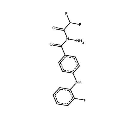 NN(C(=O)c1ccc(Nc2ccccc2F)cc1)C(=O)C(F)F